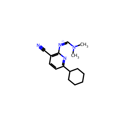 CN(C)/C=N\c1nc(C2CCCCC2)ccc1C#N